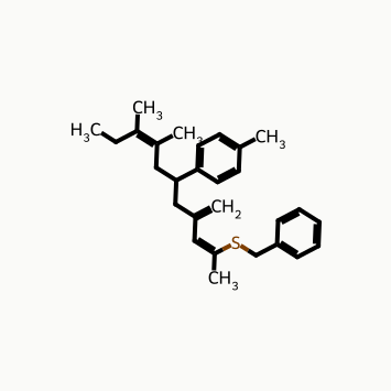 C=C(/C=C(/C)SCc1ccccc1)CC(C/C(C)=C(/C)CC)c1ccc(C)cc1